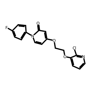 O=c1cc(OCCOc2cccnc2Cl)ccn1-c1ccc(F)cc1